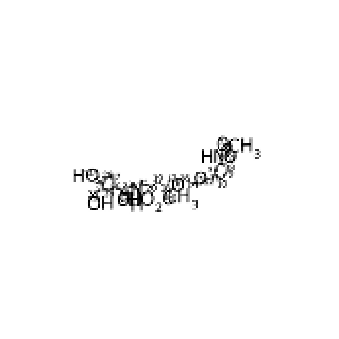 CC(=O)O.CS(=O)(=O)Nc1cccc(COCCOCCCCCNC[C@H](O)c2ccc(O)c(CO)c2)c1